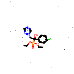 CCOP(=O)(OCC)C(O)(Cn1cncn1)c1ccc(Cl)cc1